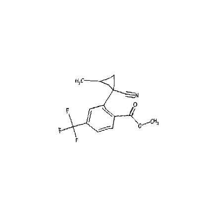 COC(=O)c1ccc(C(F)(F)F)cc1C1(C#N)CC1C